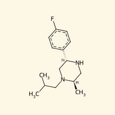 CC(C)CN1C[C@H](c2ccc(F)cc2)NC[C@H]1C